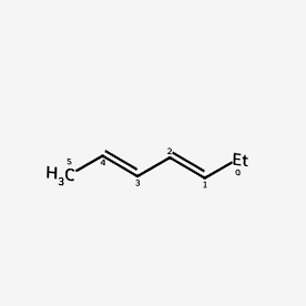 [CH2]CC=CC=CC